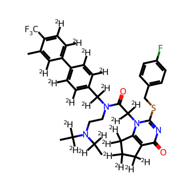 [2H]c1c([2H])c(C([2H])([2H])N(CCN(C([2H])([2H])C)C([2H])([2H])C)C(=O)C([2H])([2H])n2c(SCc3ccc(F)cc3)nc(=O)c3c2C([2H])([2H])C([2H])([2H])C3([2H])[2H])c([2H])c([2H])c1-c1c([2H])c([2H])c(C(F)(F)F)c(C)c1[2H]